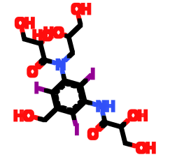 O=C(Nc1c(I)c(CO)c(I)c(N(CC(O)CO)C(=O)C(O)CO)c1I)C(O)CO